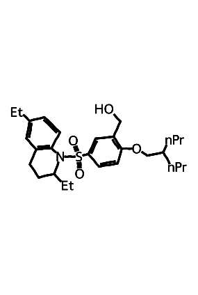 CCCC(CCC)COc1ccc(S(=O)(=O)N2c3ccc(CC)cc3CCC2CC)cc1CO